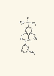 Cc1cc(C(F)(C(F)(F)F)C(F)(F)F)cc(SC#N)c1NC(=O)c1cccc(N)c1